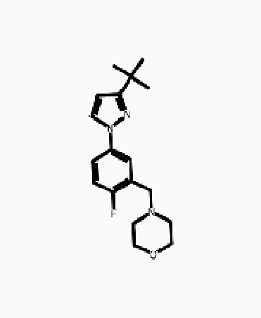 CC(C)(C)c1c[c]n(-c2ccc(F)c(CN3CCOCC3)c2)n1